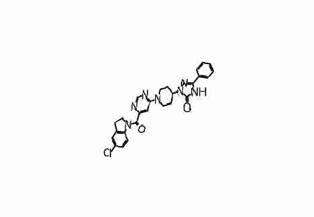 O=C(c1cc(N2CCC(n3nc(-c4ccccc4)[nH]c3=O)CC2)ncn1)N1CCc2cc(Cl)ccc21